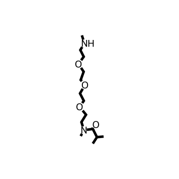 CNCCOCCOCCOCCN(C)C(=O)C(C)C